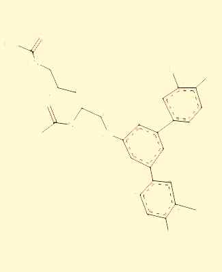 O=C(O)NCCC[C@H](COc1cc(-c2ccc(F)c(F)c2)cc(-c2ccc(F)c(F)c2)c1)NC(=O)O